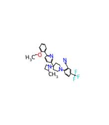 CCOc1ccccc1-c1ccc(C2(N3CCC3C)CCN(c3ccc(C(F)(F)F)cc3C#N)CC2)cn1